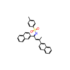 C/C(=C\C(=NS(=O)(=O)c1ccc(C)cc1)c1ccc2ccccc2c1)c1ccc2ccccc2c1